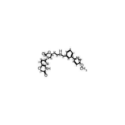 COc1ccc(-c2cccc(CNCC[C@H]3CN(c4ccc5c(n4)NC(=O)CO5)C(=O)O3)c2)nn1